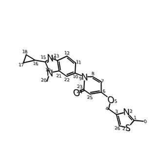 Cc1nc(COc2ccn(-c3ccc4nc(C5CC5)n(C)c4c3)c(=O)c2)cs1